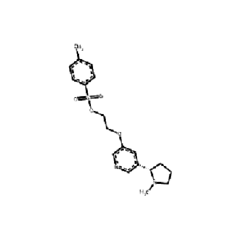 Cc1ccc(S(=O)(=O)OCCOc2cncc([C@@H]3CCCN3C)c2)cc1